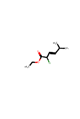 CCOC(=O)C(Cl)C=CC(C)C